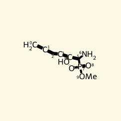 C=C=C=C=C=C(N)P(=O)(OC)OO